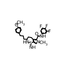 COc1ccc(CCCC2CCc3c(cn(C)c3C(=O)Nc3cc(F)c(F)c(F)c3)S(=N)N2)cc1